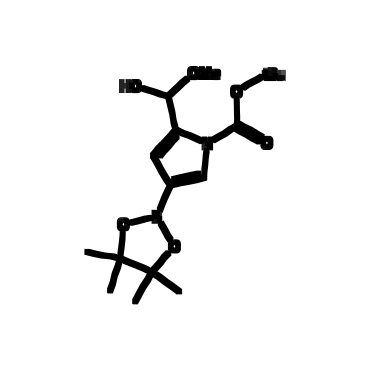 COC(O)c1cc(B2OC(C)(C)C(C)(C)O2)cn1C(=O)OC(C)(C)C